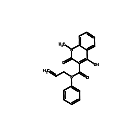 C=CCN(C(=O)c1c(O)c2ccccc2n(C)c1=O)c1ccccc1